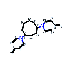 C=C/C=C\N(C=C)C1CCCCC(N(C=C)/C=C\C=C)CC1